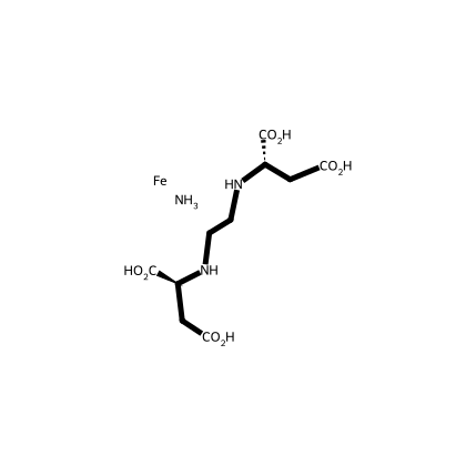 N.O=C(O)C[C@H](NCCN[C@@H](CC(=O)O)C(=O)O)C(=O)O.[Fe]